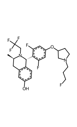 C[C@@H]1Cc2cc(O)ccc2[C@@H](c2c(F)cc(OC3CCN(CCCF)C3)cc2F)N1CC(F)(F)F